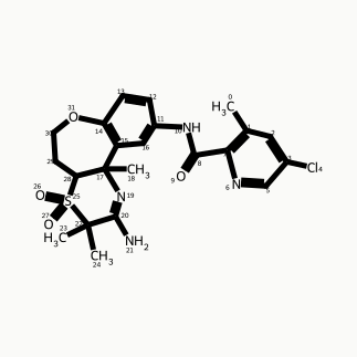 Cc1cc(Cl)cnc1C(=O)Nc1ccc2c(c1)C1(C)N=C(N)C(C)(C)S(=O)(=O)C1CCO2